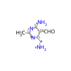 Cc1nc(N)c(C=O)c(CN)n1